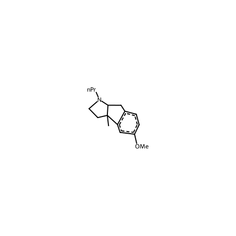 CCCN1CCC2(C)c3cc(OC)ccc3CC12